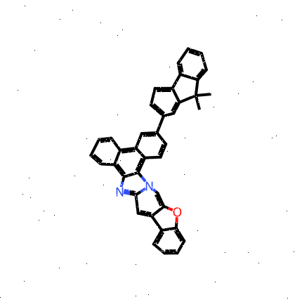 CC1(C)c2ccccc2-c2ccc(-c3ccc4c(c3)c3ccccc3c3nc5cc6c(cn5c43)oc3ccccc36)cc21